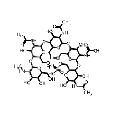 CNC1C(OC2C(CO)OC(OC3C(CO)OC(OC4C(CO)OC(OC5C(COS(=O)(=O)O)OC(O)C(NC(C)=O)C5O)C(NC(C)=O)C4O)C(NC(C)=O)C3O)C(NC(C)=O)C2O)OC(CO)C(O)C1O